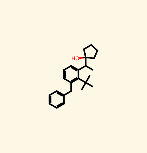 C[C](c1cccc(Cc2ccccc2)c1C(C)(C)C)C1(O)CCCC1